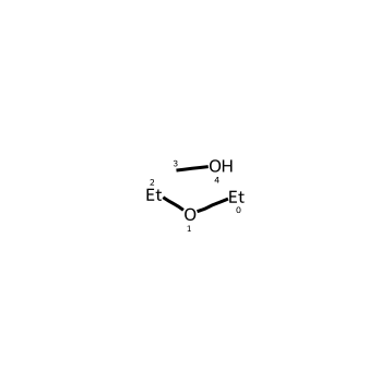 CCOCC.CO